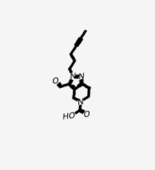 CC#CCCCn1nc2c(c1C=O)CN(C(=O)O)CC2